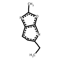 CCc1ccc2nc(C)oc2n1